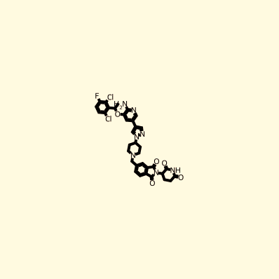 CC(Oc1cc(-c2cnn(C3CCN(Cc4ccc5c(c4)C(=O)N(C4CCC(=O)NC4=O)C5=O)CC3)c2)cnc1N)c1c(Cl)ccc(F)c1Cl